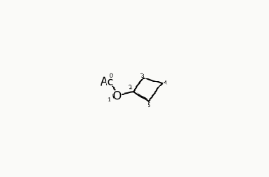 CC(=O)OC1CCC1